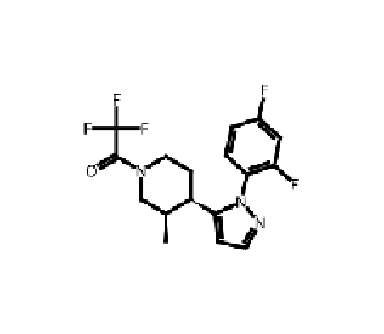 C[C@H]1CN(C(=O)C(F)(F)F)CC[C@H]1c1ccnn1-c1ccc(F)cc1F